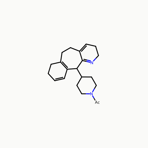 CC(=O)N1CCC(C2C3=NCCC=C3CCC3=C2C=CCC3)CC1